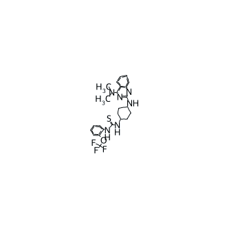 CN(C)c1nc(NC2CCC(NC(=S)Nc3ccccc3OC(F)(F)F)CC2)nc2ccccc12